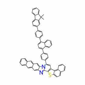 CC1(C)c2ccccc2-c2ccc(-c3ccc(-c4ccc(-c5ccc(-c6cc7c(sc8ccc9ccccc9c87)c7nc8cc9cc%10ccccc%10cc9cc8n67)cc5)c5ccccc45)cc3)cc21